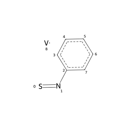 S=Nc1ccccc1.[V]